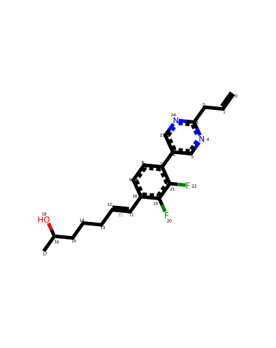 C=CCc1ncc(-c2ccc(/C=C/CCCC(C)O)c(F)c2F)cn1